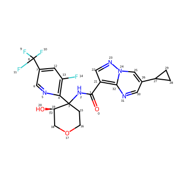 O=C(NC1(c2ncc(C(F)(F)F)cc2F)CCOC[C@H]1O)c1cnn2cc(C3CC3)cnc12